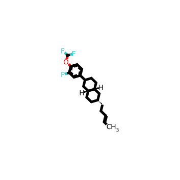 CC=CCC[C@@H]1CC[C@@H]2CC(c3ccc(OC(F)F)c(F)c3)CC[C@@H]2C1